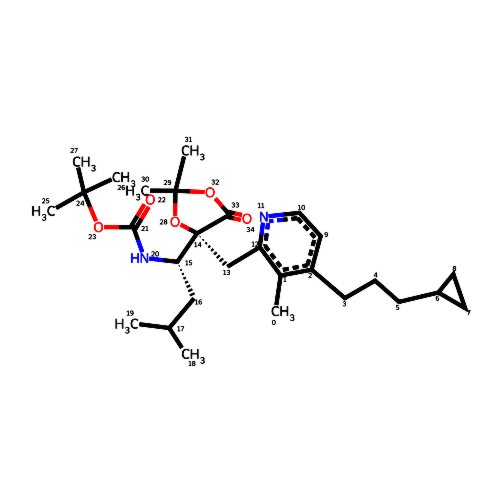 Cc1c(CCCC2CC2)ccnc1C[C@]1([C@H](CC(C)C)NC(=O)OC(C)(C)C)OC(C)(C)OC1=O